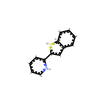 c1ccc(-c2cc3ccccc3s2)nc1